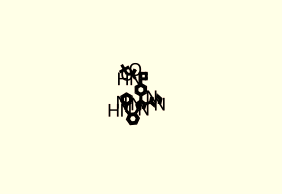 CC(C)(C)OC(=O)NC1(c2ccc(-c3c(-c4cnccn4)nc4n3-c3cccnc3Nc3ccccc3-4)cc2)CCC1